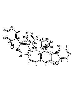 C1=Cc2cc3oc4ccccc4c3cc2S2(c3cc4c(cc31)oc1ccccc14)c1ccccc1-c1ccccc12